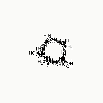 CCCC[C@H]1C(=O)N(C)[C@@H](CCCC)C(=O)N[C@@H](CC(C)C)C(=O)N[C@H](C(=O)NCC(N)=O)CSCC(=O)N[C@@H](Cc2ccc(O)cc2)C(=O)N(C)[C@@H](C)C(=O)N[C@@H](CC(N)=O)C(=O)N2CCC[C@H]2C(=O)N[C@@H](CNC[C@@H](O)[C@@H](O)[C@@H](O)[C@H](O)CO)C(=O)N[C@@H](CC(C)C)C(=O)N2C[C@H](O)C[C@H]2C(=O)N[C@@H](Cc2c[nH]c3ccccc23)C(=O)N[C@@H](CCN)C(=O)N[C@@H](Cc2cn(CC(=O)O)c3ccccc23)C(=O)N1C